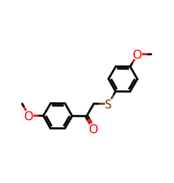 COc1ccc(SCC(=O)c2ccc(OC)cc2)cc1